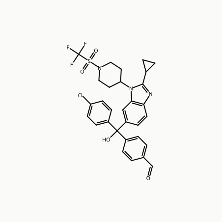 O=Cc1ccc(C(O)(c2ccc(Cl)cc2)c2ccc3nc(C4CC4)n(C4CCN(S(=O)(=O)C(F)(F)F)CC4)c3c2)cc1